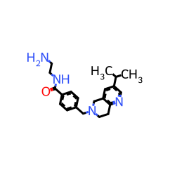 CC(C)c1cnc2c(c1)CN(Cc1ccc(C(=O)NCCN)cc1)CC2